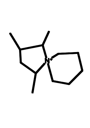 CC1CC(C)[N+]2(CCCCC2)C1C